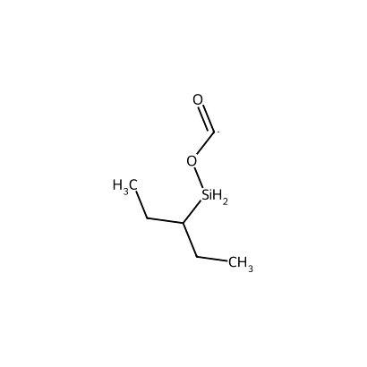 CCC(CC)[SiH2]O[C]=O